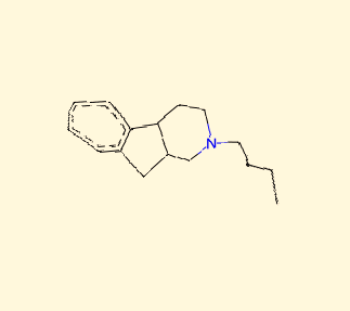 CCCCN1CCC2c3ccccc3CC2C1